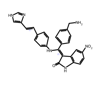 NCc1ccc(/C(Nc2ccc(/C=C/c3c[nH]cn3)cc2)=C2/C(=O)Nc3ccc([N+](=O)[O-])cc32)cc1